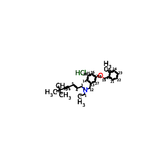 CCN(C/C=C/C#CC(C)(C)C)Cc1cccc(OCc2ccccc2C)c1.Cl